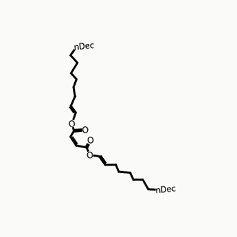 CCCCCCCCCCCCCCCCC=COC(=O)/C=C\C(=O)OC=CCCCCCCCCCCCCCCCC